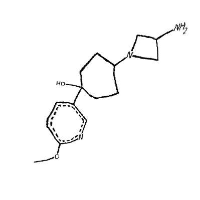 COc1ccc(C2(O)CCC(N3CC(N)C3)CC2)cn1